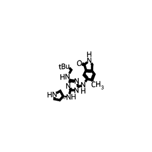 Cc1cc2c(cc1Nc1nc(NCC(C)(C)C)nc(N[C@H]3CCNC3)n1)C(=O)NC2